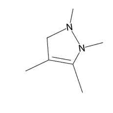 CC1=C(C)N(C)N(C)C1